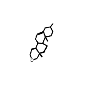 CC1CCC2(C)C(=CCC3C4CCOCC4(C)CCC32)C1